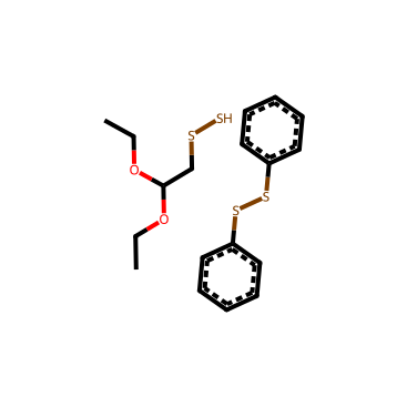 CCOC(CSS)OCC.c1ccc(SSc2ccccc2)cc1